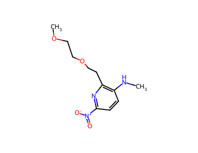 CNc1ccc([N+](=O)[O-])nc1CCOCCOC